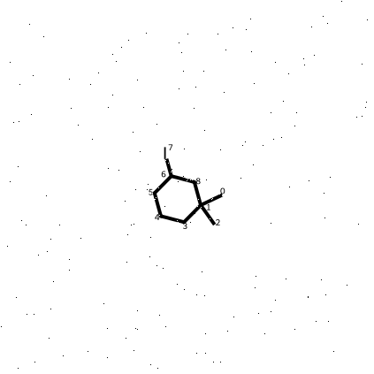 CC1(C)CCCC(I)C1